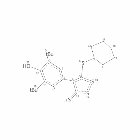 CC(C)(C)c1cc(-c2c(SC3CCCCC3)ssc2=S)cc(C(C)(C)C)c1O